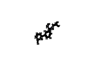 C=N/C(=N\C=C(C)C)c1cccc(-c2ccnc(C)n2)c1